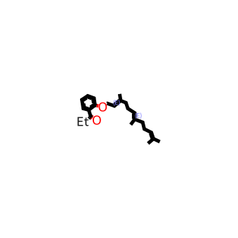 CCC(=O)c1ccccc1OC/C=C(\C)CC/C=C(\C)CCC=C(C)C